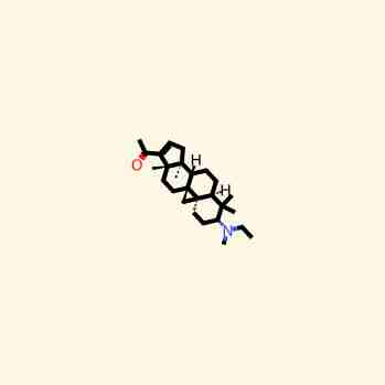 CCN(C)[C@H]1CC[C@]23C[C@]24CC[C@]2(C)C(C(C)=O)=CC[C@@]2(C)[C@@H]4CC[C@H]3C1(C)C